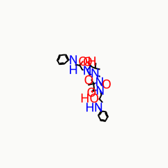 CC1(C)C(=O)N(CC(O)CNc2ccccc2)C(=O)N1CN1C(=O)N(CC(O)CNc2ccccc2)C(=O)C1(C)C